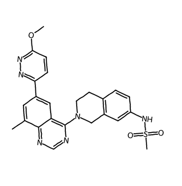 COc1ccc(-c2cc(C)c3ncnc(N4CCc5ccc(NS(C)(=O)=O)cc5C4)c3c2)nn1